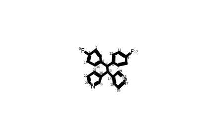 Fc1ccc(C(c2ccc(F)cc2)C(c2cccnc2)c2cccnc2)cc1